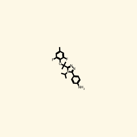 Cc1cc(F)c(OC(C)(C)c2nnc(-c3ccc(N)cc3)n2C(C)C)c(F)c1